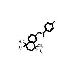 CC1(C)CCC(C)(C)c2cc(CNc3ccc(I)cc3)ccc21